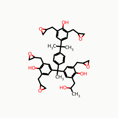 CC(O)Cc1cc(C(C)(c2ccc(C(C)(C)c3cc(CC4CO4)c(O)c(CC4CO4)c3)cc2)c2cc(CC3CO3)c(O)c(CC3CO3)c2)cc(CC2CO2)c1O